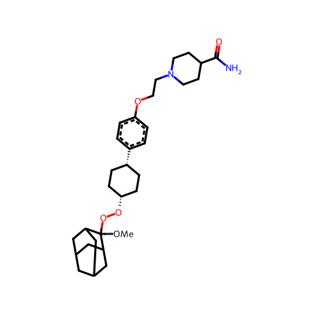 COC1(OO[C@H]2CC[C@@H](c3ccc(OCCN4CCC(C(N)=O)CC4)cc3)CC2)C2CC3CC(C2)CC1C3